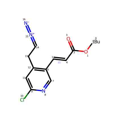 CC(C)(C)OC(=O)/C=C/c1cnc(Cl)cc1CC=[N+]=[N-]